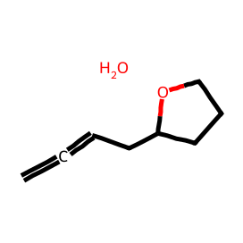 C=C=CCC1CCCO1.O